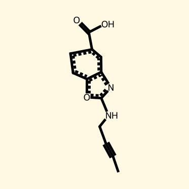 CC#CCNc1nc2cc(C(=O)O)ccc2o1